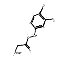 CCCC(C)CC(=O)ONc1ccc(Cl)c(Cl)c1